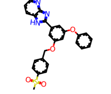 CS(=O)(=O)c1ccc(COc2cc(Oc3ccccc3)cc(-c3nc4ncccc4[nH]3)c2)cc1